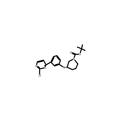 CC(C)(C)OC(=O)N1CCCC(Nc2cccc(-c3ccnc(Cl)n3)c2)C1